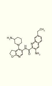 CCc1ccc2cc(N)c(C(=O)Nc3cnc4c(c3N3CCCC(N)C3)CCO4)nc2c1